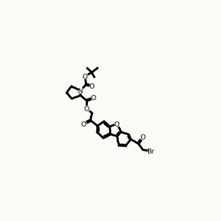 CC(C)(C)OC(=O)N1CCCC1C(=O)OCC(=O)c1ccc2c(c1)oc1cc(C(=O)CBr)ccc12